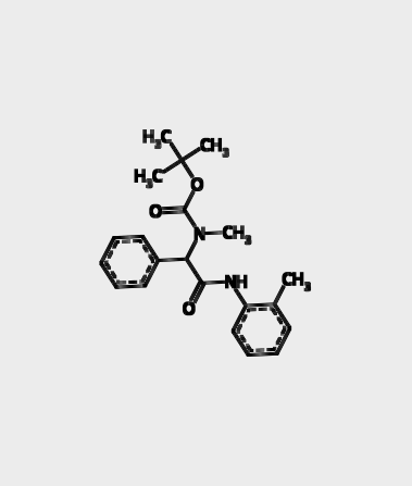 Cc1ccccc1NC(=O)C(c1ccccc1)N(C)C(=O)OC(C)(C)C